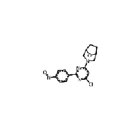 O=Nc1ccc(-c2nc(Cl)cc(N3CC4CCC(C3)O4)n2)cc1